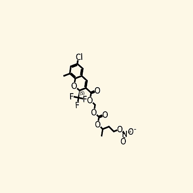 Cc1cc(Cl)cc2c1O[C@H](C(F)(F)F)C(C(=O)OCOC(=O)OC(C)CCO[N+](=O)[O-])=C2